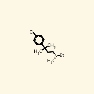 CCN(C)CCC(C)(C)c1ccc(Cl)cc1